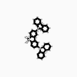 O=S1(=O)c2ccc(N3c4ccccc4C4C=CC=CC43)cc2-c2cc(-n3c4ccccc4c4ccccc43)ccc21